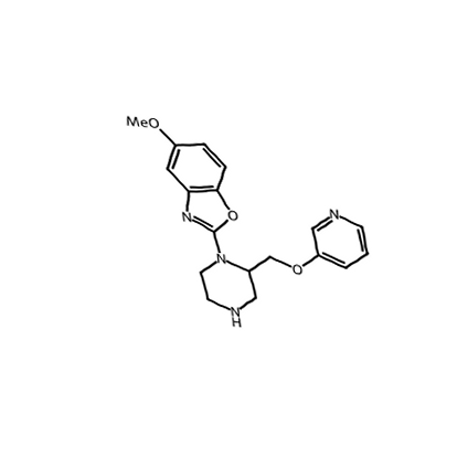 COc1ccc2oc(N3CCNCC3COc3cccnc3)nc2c1